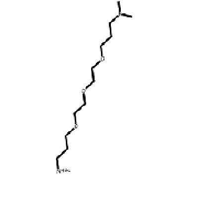 CC(=O)NCCCOCCOCCOCCCN(C)C